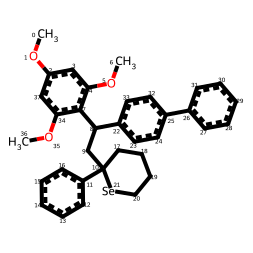 COc1cc(OC)c(C(CC2(c3ccccc3)CCCC[Se]2)c2ccc(-c3ccccc3)cc2)c(OC)c1